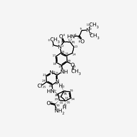 CCN1C(=O)[C@H](NC(=O)CN(C)C)CCc2c1ccc(Nc1ncc(Cl)c(N[C@H]3[C@@H](C(N)=O)[C@@H]4C=C[C@H]3C4)n1)c2OC